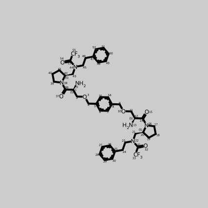 N[C@@H](COCc1ccc(COC[C@H](N)C(=O)N2CCC[C@H]2CN(CCc2ccccc2)C(=O)C(F)(F)F)cc1)C(=O)N1CCC[C@H]1CN(CCc1ccccc1)C(=O)C(F)(F)F